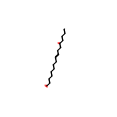 CCCCCC(=O)CC/C=C/CCCCCCCC(=O)O